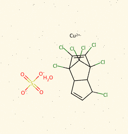 ClC1=C(Cl)C2(Cl)C3C(Cl)C=CC3C1(Cl)C2(Cl)Cl.O.O=S(=O)([O-])[O-].[Cu+2]